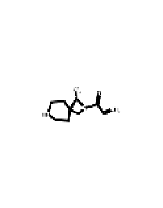 C=CC(=O)N1CC2(CCNCC2)[C@H]1C(F)(F)F